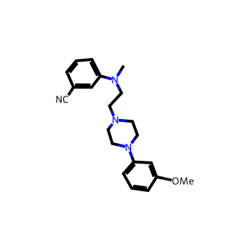 COc1cccc(N2CCN(CCN(C)c3cccc(C#N)c3)CC2)c1